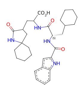 O=C(N[C@@H](CC1CCCCC1)C(=O)NC(CC1CC2(CCCCC2)NC1=O)C(=O)O)c1cc2ccccc2[nH]1